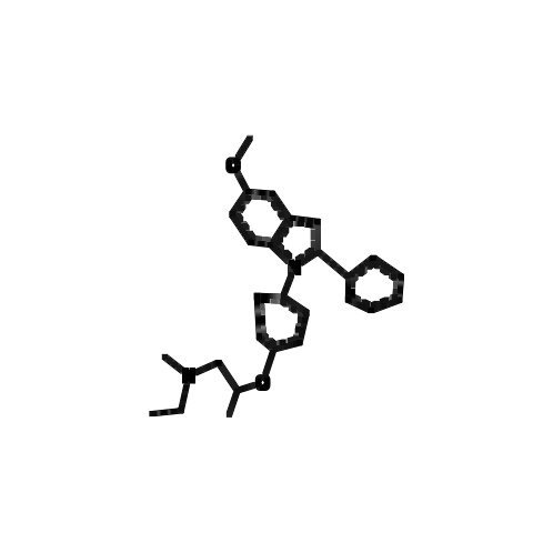 CCN(C)CC(C)Oc1ccc(-n2c(-c3ccccc3)cc3cc(OC)ccc32)cc1